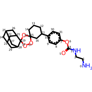 NCCNC(=O)Oc1ccc(C2CCCC3(C2)OOC2(O3)C3CC4CC(C3)CC2C4)cc1